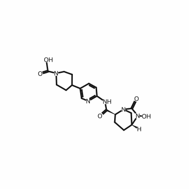 O=C(Nc1ccc(C2CCN(C(=O)O)CC2)cn1)[C@@H]1CC[C@@H]2CN1C(=O)N2O